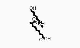 C=C.CC(CCCCCCC(=O)O)C(=O)O.OCCCCCCO